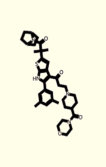 Cc1cc(C)cc(-c2[nH]c3sc(C(C)(C)C(=O)N4C5CCC4CC5)cc3c2C(=O)CCN2CCC(C(=O)N3CCOCC3)CC2)c1